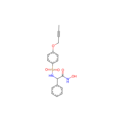 CC#CCOc1ccc(S(=O)(=O)NC(C(=O)NO)c2ccccc2)cc1